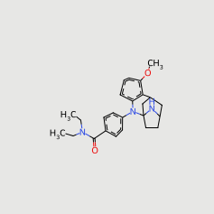 CCN(CC)C(=O)c1ccc(N2c3cccc(OC)c3C3CC4CCC2(C3)N4)cc1